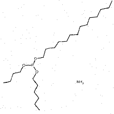 CCCCCCCCCCCCCCOP(OCCCC)OCCCCCC.N